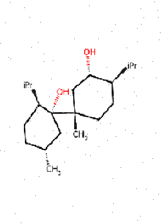 CC(C)[C@H]1CC[C@](C)([C@@]2(O)C[C@H](C)CC[C@H]2C(C)C)C[C@@H]1O